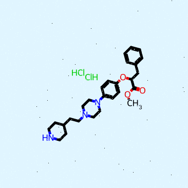 COC(=O)C(Cc1ccccc1)Oc1ccc(N2CCN(CCC3CCNCC3)CC2)cc1.Cl.Cl